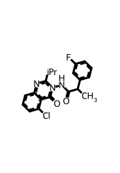 CC(C)c1nc2cccc(Cl)c2c(=O)n1NC(=O)C(C)c1cccc(F)c1